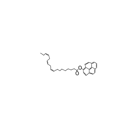 CC/C=C\C/C=C\C/C=C\CCCCCCCC(=O)Oc1ccc2ccc3cccc4ccc1c2c34